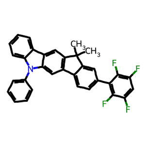 CC1(C)c2cc(-c3c(F)c(F)cc(F)c3F)ccc2-c2cc3c(cc21)c1ccccc1n3-c1ccccc1